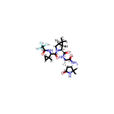 CC1(C)C[C@@H](C[C@H](NC(=O)[C@@H]2[C@@H]3[C@H](CN2C(=O)C(NC(=O)C(F)(F)F)C2(C)CC2)C3(C)C)C(N)=O)C(=O)N1